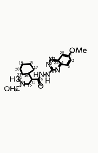 COc1ccc2nc(NNC(=O)C(CN(O)C=O)C3CCCCC3)nnc2c1